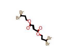 O=C(/C=C/C(=O)OCCC(Br)Br)OCCC(Br)Br